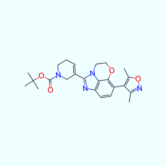 Cc1noc(C)c1-c1ccc2nc(C3=CCCN(C(=O)OC(C)(C)C)C3)n3c2c1OCC3